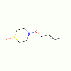 C/C=C/CON1CC[S+]([O-])CC1